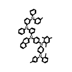 Cc1ccc(N(c2ccc(N(c3ccc(N(c4cccc(N(c5ccccc5)c5cccc(N(c6ccccc6)c6cccc(C)c6)c5)c4)c4ccc5ccccc5c4)cc3)c3c(C)cc(C)cc3C)cc2)c2ccccc2C)cc1